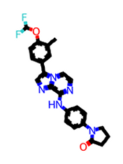 Cc1cc(-c2cnc3c(Nc4ccc(N5CCCC5=O)cc4)nccn23)ccc1OC(F)F